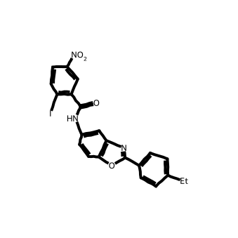 CCc1ccc(-c2nc3cc(NC(=O)c4cc([N+](=O)[O-])ccc4I)ccc3o2)cc1